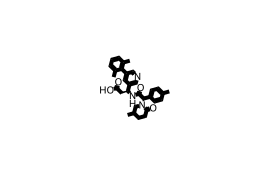 Cc1ccc([C@@H](C(=O)N[C@@H](CC(=O)O)c2cncc(-c3c(C)cccc3C)c2)N2CC(C)CCC2=O)cc1